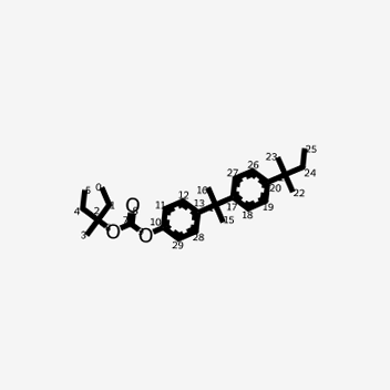 CCC(C)(CC)OC(=O)Oc1ccc(C(C)(C)c2ccc(C(C)(C)CC)cc2)cc1